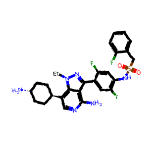 CCn1nc(-c2cc(F)c(NS(=O)(=O)Cc3ccccc3F)cc2F)c2c(N)ncc([C@H]3CC[C@H](N)CC3)c21